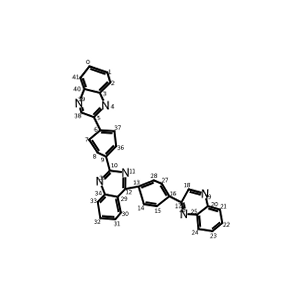 c1ccc2nc(-c3ccc(-c4nc(-c5ccc(-c6cnc7ccccc7n6)cc5)c5ccccc5n4)cc3)cnc2c1